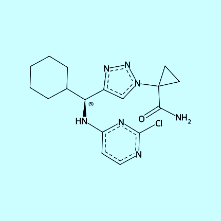 NC(=O)C1(n2cc([C@@H](Nc3ccnc(Cl)n3)C3CCCCC3)nn2)CC1